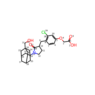 O=C(O)COc1ccc(CC2CCN(C34CC5CC(CC(CO)(C5)C3)C4)C2=O)c(Cl)c1